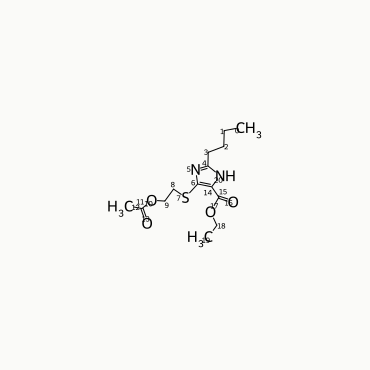 CCCCc1nc(SCCOC(C)=O)c(C(=O)OCC)[nH]1